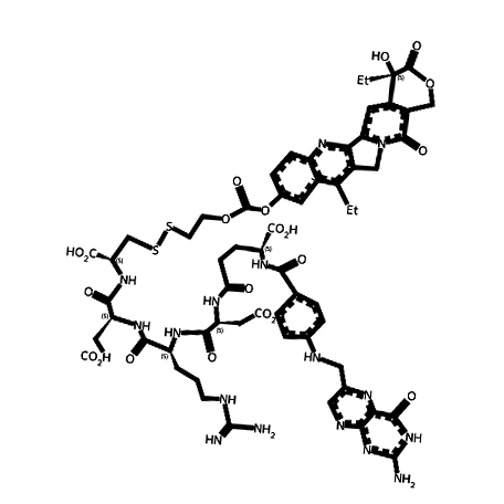 CCc1c2c(nc3ccc(OC(=O)OCCSSC[C@@H](NC(=O)[C@H](CC(=O)O)NC(=O)[C@H](CCCNC(=N)N)NC(=O)[C@H](CC(=O)O)NC(=O)CC[C@H](NC(=O)c4ccc(NCc5cnc6nc(N)[nH]c(=O)c6n5)cc4)C(=O)O)C(=O)O)cc13)-c1cc3c(c(=O)n1C2)COC(=O)[C@]3(O)CC